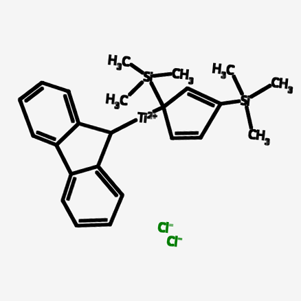 C[Si](C)(C)C1=C[C]([Ti+2][CH]2c3ccccc3-c3ccccc32)([Si](C)(C)C)C=C1.[Cl-].[Cl-]